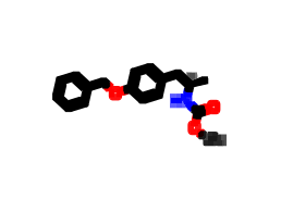 C[C@H](Cc1ccc(OCc2ccccc2)cc1)NC(=O)OC(C)(C)C